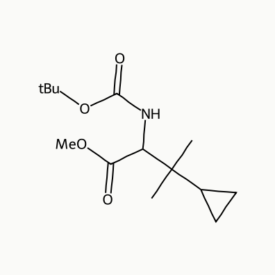 COC(=O)C(NC(=O)OC(C)(C)C)C(C)(C)C1CC1